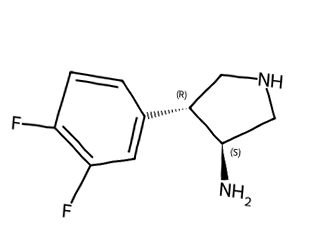 N[C@@H]1CNC[C@H]1c1ccc(F)c(F)c1